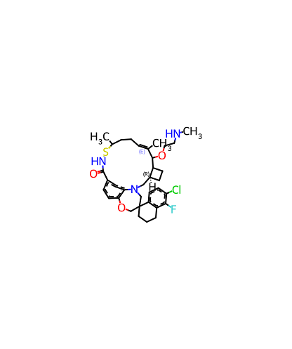 CNCCOC1/C(C)=C/CCC(C)SNC(=O)c2ccc3c(c2)N(C[C@@H]2CCC12)CC1(CCCc2c1ccc(Cl)c2F)CO3